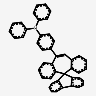 C1=C(c2ccc(N(c3ccccc3)c3ccccc3)cc2)c2ccccc2C2(c3ccccc31)c1ccccc1-c1ccccc12